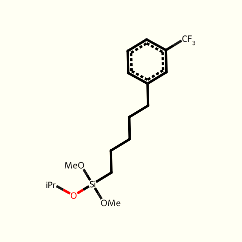 CO[Si](CCCCCc1cccc(C(F)(F)F)c1)(OC)OC(C)C